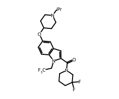 CC(C)N1CCC(Oc2ccc3c(c2)cc(C(=O)N2CCCC(F)(F)C2)n3CC(F)(F)F)CC1